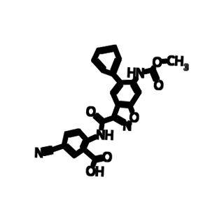 COC(=O)Nc1cc2onc(C(=O)Nc3ccc(C#N)cc3C(=O)O)c2cc1-c1ccccc1